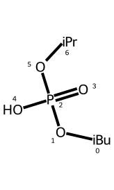 CCC(C)OP(=O)(O)OC(C)C